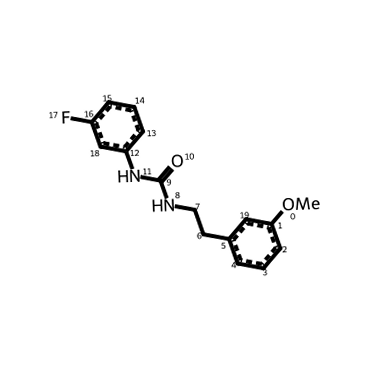 COc1cccc(CCNC(=O)Nc2cccc(F)c2)c1